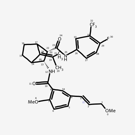 COC/C=C/c1ccc(OC)c(C(=O)N[C@@H]2C3CCC(C3=C(C)C)[C@@H]2C(=O)Nc2ccc(F)c(C(F)(F)F)c2)c1